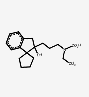 O=C(O)N(CCCC1(O)Cc2ccccc2C12CCCC2)CC(Cl)(Cl)Cl